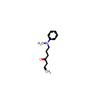 C=CCC(=O)CCCN(C)c1ccccc1